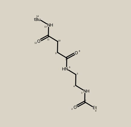 CCC(=O)NCCNC(=O)CCC(=O)NC(C)(C)C